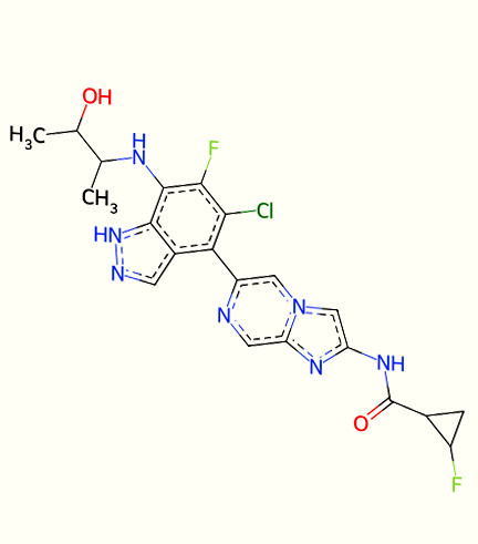 CC(O)C(C)Nc1c(F)c(Cl)c(-c2cn3cc(NC(=O)C4CC4F)nc3cn2)c2cn[nH]c12